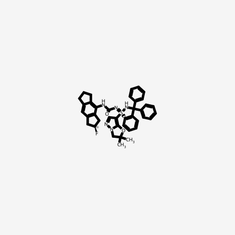 CC1(C)Cn2ncc(S(=O)(=NC(=O)Nc3c4c(cc5c3C[C@@H](F)C5)CCC4)NC(c3ccccc3)(c3ccccc3)c3ccccc3)c2O1